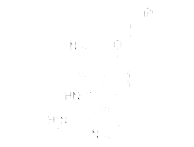 CC(C)CCOc1cccc(C2(c3ccncc3)NC(N)c3ncccc32)c1